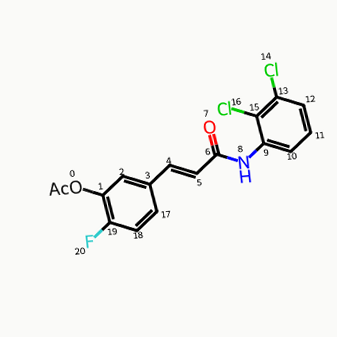 CC(=O)Oc1cc(C=CC(=O)Nc2cccc(Cl)c2Cl)ccc1F